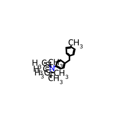 Cc1ccc(Cc2ccc(N([Si](C)(C)C)[Si](C)(C)C)cc2)cc1